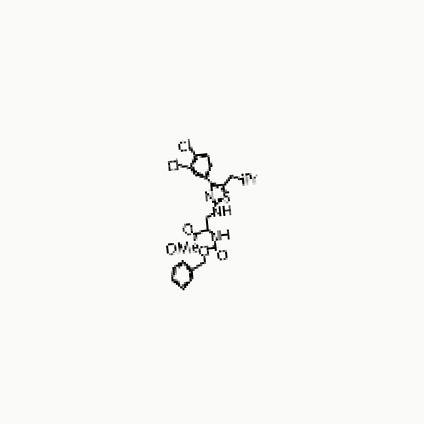 COC(=O)C(CNc1nc(-c2ccc(Cl)c(Cl)c2)c(CC(C)C)s1)NC(=O)OCc1ccccc1